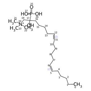 CCCCC/C=C\CCCC/C=C\CCCCC(O)(C[N+](C)(C)C)P(=O)(O)O